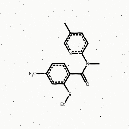 CCSc1cc(C(F)(F)F)ccc1C(=O)N(C)c1ccc(C)cn1